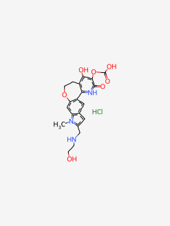 Cl.Cn1c(CNCCO)cc2cc3c(cc21)OCCc1c-3[nH]c(=O)c(OC(=O)O)c1O